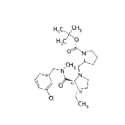 CC[C@H]1CCN(CC2CCCN2C(=O)OC(C)(C)C)[C@@H]1C(=O)N(C)Cc1cccc(Cl)c1